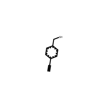 C#Cc1ccc(CS)cc1